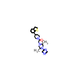 C[C@@H]1CN(c2cnccn2)[C@@H](C)CN1CC(=O)N1CC=C(c2cccc3ccsc23)CC1